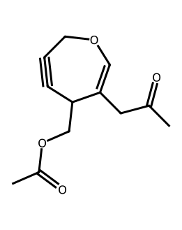 CC(=O)CC1=COCC#CC1COC(C)=O